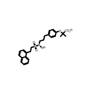 CCCN(CCCc1ccc(OC(C)(C)C(=O)O)cc1)S(=O)(=O)CCc1cccc2ccccc12